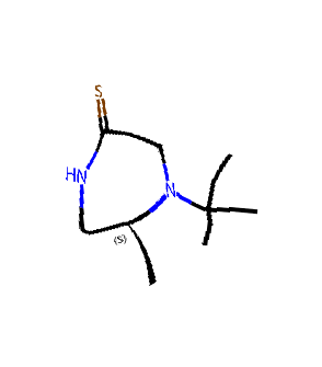 C[C@H]1CNC(=S)CN1C(C)(C)C